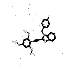 COc1cc(OC)c(C#Cc2nc3ccccc3n2Cc2ccc(F)cc2)c(OC)c1